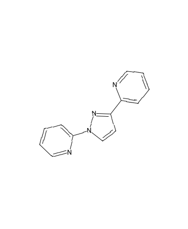 c1ccc(-c2ccn(-c3ccccn3)n2)nc1